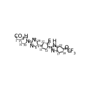 O=C(O)CC1CCN(c2ncc(-c3ccc(-c4nc5ccc(OC(F)(F)F)cc5[nH]4)c(F)c3)cn2)CC1